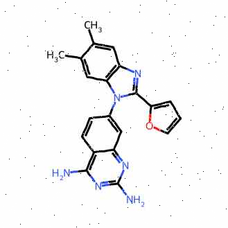 Cc1cc2nc(-c3ccco3)n(-c3ccc4c(N)nc(N)nc4c3)c2cc1C